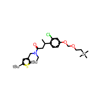 CC(CC(=O)N(Cc1csc(C(C)(C)C)c1)CC(C)(C)C)c1ccc(OCOCC[Si](C)(C)C)cc1Cl